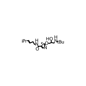 CC(C)/C=C/CCNC(=O)c1cnc(OCC(O)CNC(C)(C)C)s1